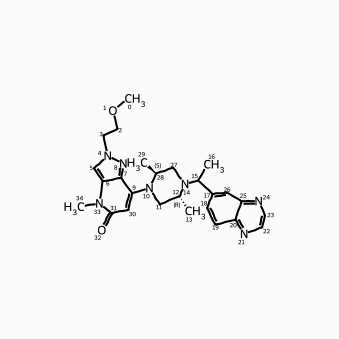 COCCn1cc2c(n1)c(N1C[C@@H](C)N(C(C)c3ccc4nccnc4c3)C[C@@H]1C)cc(=O)n2C